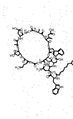 CCC(C)CCCCCCC(=O)NC(Cc1c[nH]c2ccccc12)C(=O)NC(CC(N)=O)C(=O)NC(CC(=O)O)C(=O)NC1C(=O)NCC(=O)NC(CCCN)C(=O)NC(CC(=O)O)C(=O)NC(C)C(=O)NC(CC(=O)O)C(=O)NCC(=O)NC(C)C(=O)NC(C(C)CC(=O)O)C(=O)NC(Cc2c[nH]c3ccccc23)C(=O)OC1C